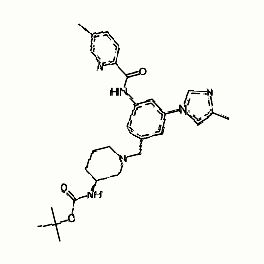 Cc1ccc(C(=O)Nc2cc(CN3CCC[C@H](NC(=O)OC(C)(C)C)C3)cc(-n3cnc(C)c3)c2)nc1